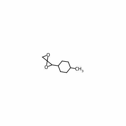 CC1CCC(C2OC23CO3)CC1